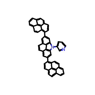 c1cncc(-n2c3cc(-c4ccc5ccc6cccc7ccc4c5c67)cc4ccc5cc(-c6ccc7ccc8cccc9ccc6c7c89)cc2c5c43)c1